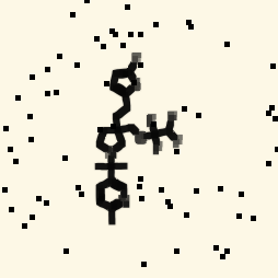 Cc1ccc(C(C)(C)N2CCC(CCc3ccc(F)s3)(COC(F)(F)C(F)F)C2)cn1